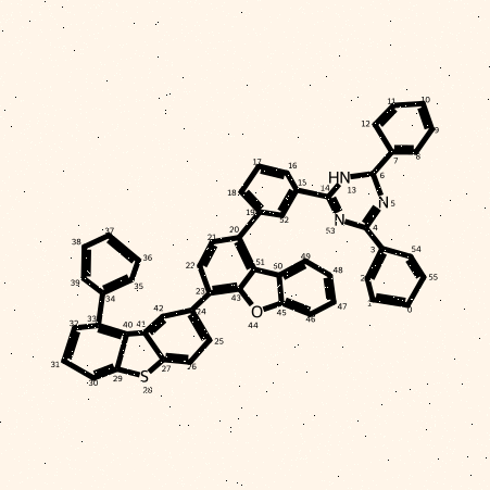 c1ccc(C2=NC(c3ccccc3)NC(c3cccc(-c4ccc(-c5ccc6sc7cccc(-c8ccccc8)c7c6c5)c5oc6ccccc6c45)c3)=N2)cc1